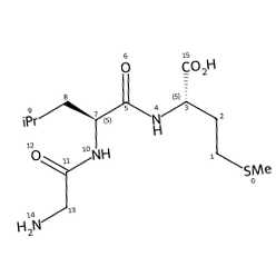 CSCC[C@H](NC(=O)[C@H](CC(C)C)NC(=O)CN)C(=O)O